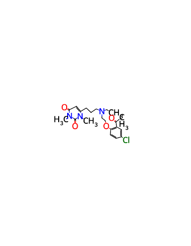 CCN(CCCc1cc(=O)n(C)c(=O)n1C)CCOc1ccc(Cl)cc1C(C)=O